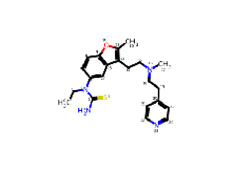 CCN(C(N)=S)c1ccc2oc(C)c(CCN(C)CCc3ccncc3)c2c1